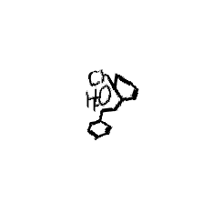 OC1(Cl)C=CC=CC1/C=C(\F)c1ccccc1